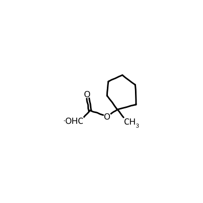 CC1(OC(=O)[C]=O)CCCCC1